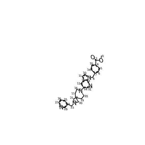 COC(=O)c1ccc(Cn2ccc3cc(N4CCC5(CC4)CN(Cc4cccnc4)C5)cnc32)cc1